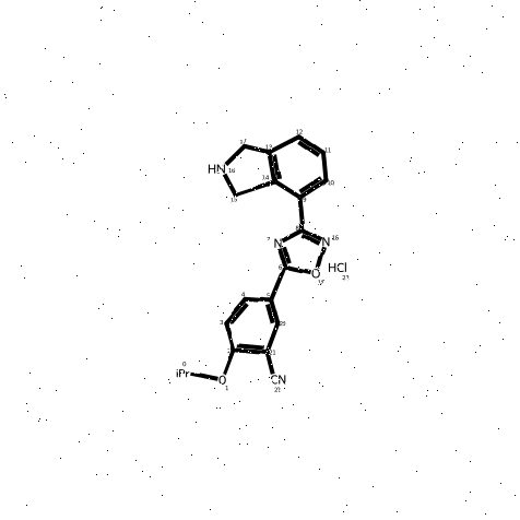 CC(C)Oc1ccc(-c2nc(-c3cccc4c3CNC4)no2)cc1C#N.Cl